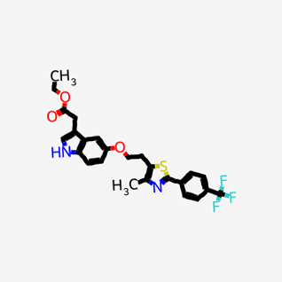 CCOC(=O)Cc1c[nH]c2ccc(OCCc3sc(-c4ccc(C(F)(F)F)cc4)nc3C)cc12